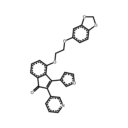 O=C1C(c2cccnc2)=C(c2ccoc2)c2c(OCCOc3ccc4c(c3)OCO4)cccc21